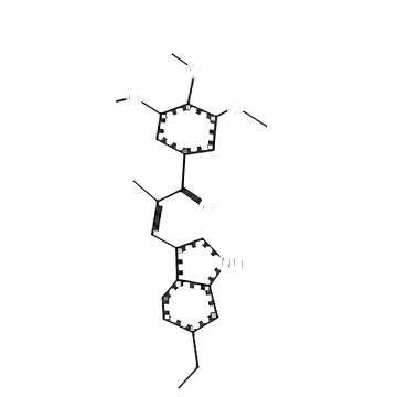 CCc1ccc2c(C=C(C)C(=O)c3cc(OC)c(OC)c(OC)c3)c[nH]c2c1